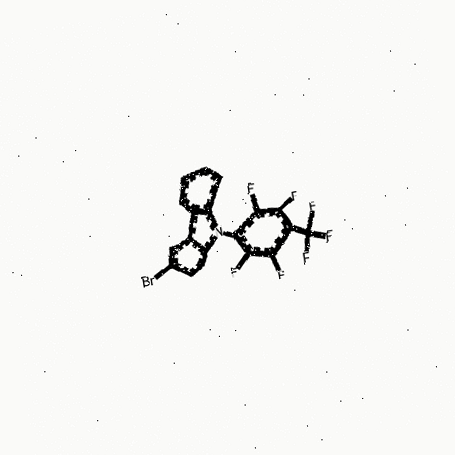 Fc1c(F)c(C(F)(F)F)c(F)c(F)c1-n1c2ccccc2c2cc(Br)ccc21